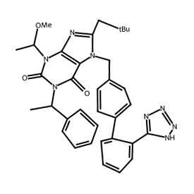 COC(C)n1c(=O)n(C(C)c2ccccc2)c(=O)c2c1nc(CC(C)(C)C)n2Cc1ccc(-c2ccccc2-c2nnn[nH]2)cc1